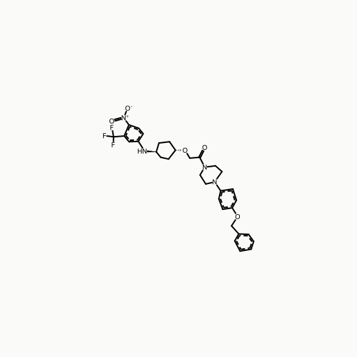 O=C(CO[C@H]1CC[C@H](Nc2ccc([N+](=O)[O-])c(C(F)(F)F)c2)CC1)N1CCN(c2ccc(OCc3ccccc3)cc2)CC1